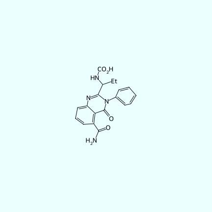 CCC(NC(=O)O)c1nc2cccc(C(N)=O)c2c(=O)n1-c1ccccc1